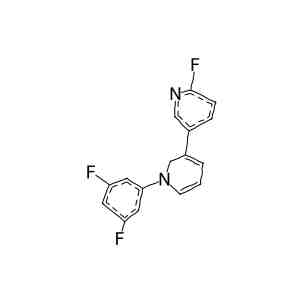 Fc1cc(F)cc(N2C=CC=C(c3ccc(F)nc3)C2)c1